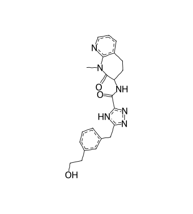 CN1C(=O)C(NC(=O)c2nnc(Cc3cccc(CCO)c3)[nH]2)CCc2cccnc21